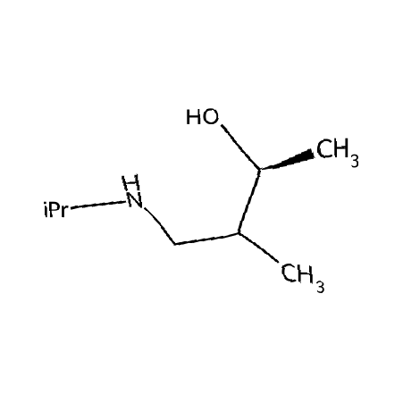 CC(C)NCC(C)[C@H](C)O